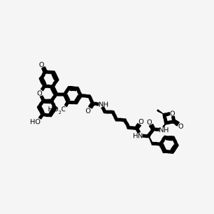 C[C@H]1OC(=O)[C@H]1NC(=O)[C@@H](Cc1ccccc1)NC(=O)CCCCCNC(=O)Cc1ccc(-c2c3ccc(=O)cc-3oc3cc(O)ccc23)c(C(=O)O)c1